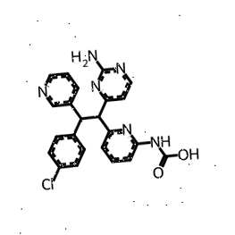 Nc1nccc(C(c2cccc(NC(=O)O)n2)C(c2ccc(Cl)cc2)c2cccnc2)n1